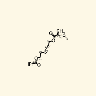 C=C(C)C(=O)OCCSSCCOC(=O)C(C)C